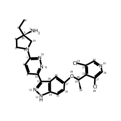 CC[C@@]1(N)CCN(c2ccc(-c3n[nH]c4ccc(O[C@H](C)c5c(Cl)cncc5Cl)cc34)nn2)C1